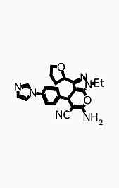 CCn1nc(C2CCCO2)c2c1OC(N)=C(C#N)C2c1ccc(-n2ccnc2)cc1